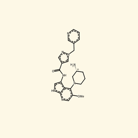 COc1cnc2[nH]cc(NC(=O)c3cnn(Cc4cccnc4)c3)c2c1N1CCC[C@@H](N)C1